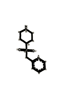 O=S(=O)(Cc1ccccn1)C1CCNCC1